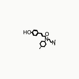 CN(C)CCN(C(=O)/C=C/c1ccc(O)cc1)[C@H]1CC[C@H](C)CC1